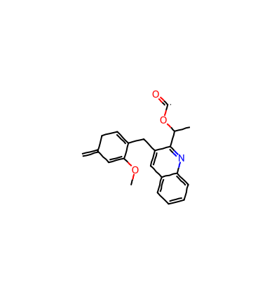 C=C1C=C(OC)C(Cc2cc3ccccc3nc2C(C)O[C]=O)=CC1